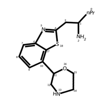 CCCC(N)Cc1nc2cccc(C3CNCCO3)c2s1